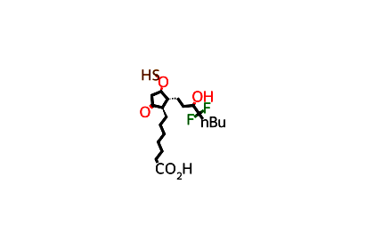 CCCCC(F)(F)C(O)CC[C@H]1[C@H](OS)CC(=O)[C@@H]1CCCCCCC(=O)O